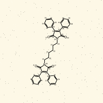 O=C1C(c2ccccc2)=C(c2ccccc2)C(=O)N1CCCCCCN1C(=O)C(c2ccccc2)=C(c2ccccc2)C1=O